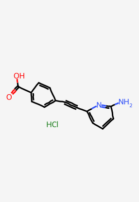 Cl.Nc1cccc(C#Cc2ccc(C(=O)O)cc2)n1